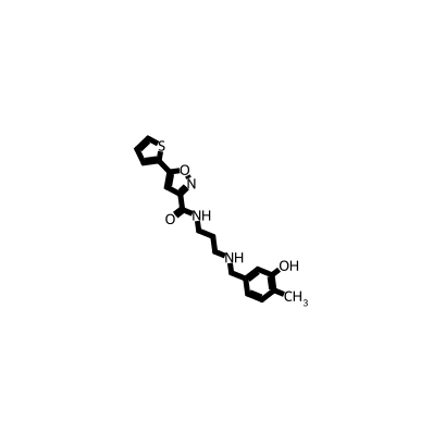 Cc1ccc(CNCCCNC(=O)c2cc(-c3cccs3)on2)cc1O